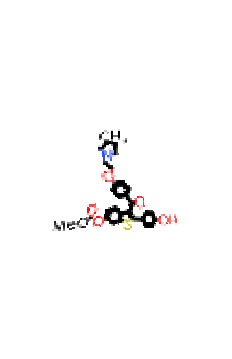 COC(=O)Oc1ccc2c(C(=O)c3ccc(OCCN4CCC(C)C4)cc3)c(-c3ccc(O)cc3)sc2c1